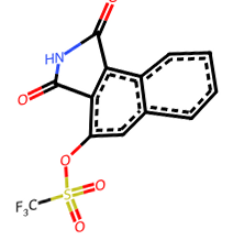 O=C1NC(=O)c2c1c(OS(=O)(=O)C(F)(F)F)cc1ccccc21